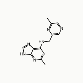 Cc1cncc(CNc2nc(C)nc3[nH]cnc23)n1